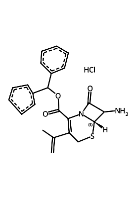 C=C(C)C1=C(C(=O)OC(c2ccccc2)c2ccccc2)N2C(=O)C(N)[C@@H]2SC1.Cl